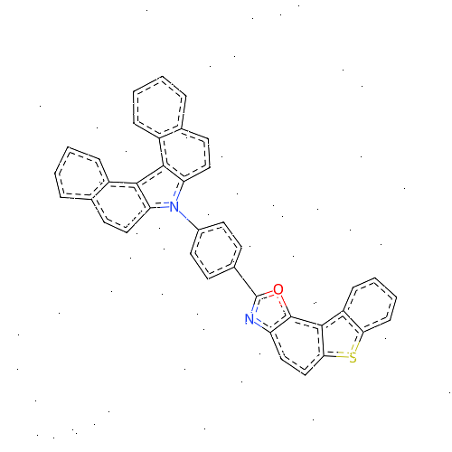 c1ccc2c(c1)ccc1c2c2c3ccccc3ccc2n1-c1ccc(-c2nc3ccc4sc5ccccc5c4c3o2)cc1